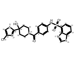 O=C(c1ccc(NS(=O)(=O)c2cccc3scnc23)cc1)N1CCC(O)(c2nc(Cl)cs2)CC1